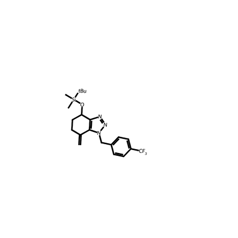 C=C1CCC(O[Si](C)(C)C(C)(C)C)c2nnn(Cc3ccc(C(F)(F)F)cc3)c21